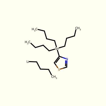 CCC[CH2][Sn]([CH2]CCC)([CH2]CCC)[c]1cscn1.[Li][CH2]CCC